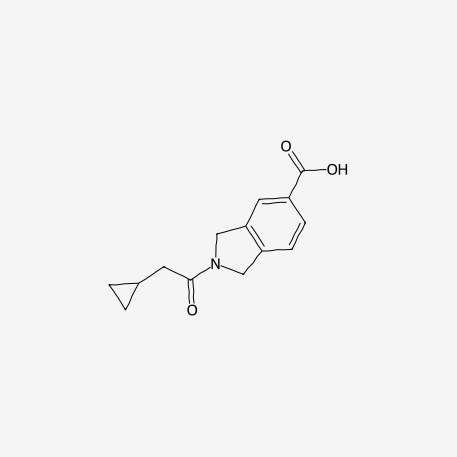 O=C(O)c1ccc2c(c1)CN(C(=O)CC1CC1)C2